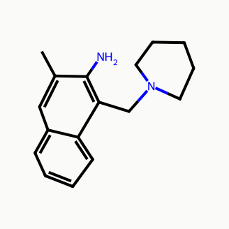 Cc1cc2ccccc2c(CN2CCCCC2)c1N